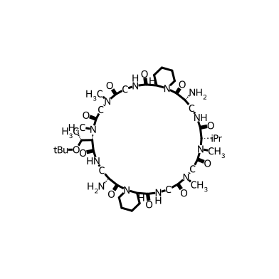 CC(C)[C@H]1C(=O)NC[C@@H](N)C(=O)N2CCCC[C@H]2C(=O)NCC(=O)N(C)CC(=O)N(C)[C@@H]([C@@H](C)OC(C)(C)C)C(=O)NC[C@@H](N)C(=O)N2CCCC[C@H]2C(=O)NCC(=O)N(C)CC(=O)N1C